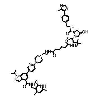 Cc1cc(C)c(CNC(=O)c2cc(-c3ccc(N4CCN(CCNC(=O)CCCCC(=O)N[C@H](C(=O)N5C[C@H](O)C[C@H]5C(=O)NCc5ccc(-c6scnc6C)cc5)C(C)(C)C)CC4)nc3)cc3c2cnn3C(C)C)c(=O)[nH]1